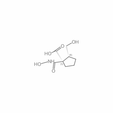 O=C(O)[C@@]1(C(=O)NO)CCC[C@H]1CO